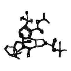 CC(C)OC(=O)c1c(C2CN(C(=O)OC(C)(C)C)CC2C(=O)N2C3CC4CCC3(CS2(=O)=O)C4(C)C)cccc1C(F)(F)F